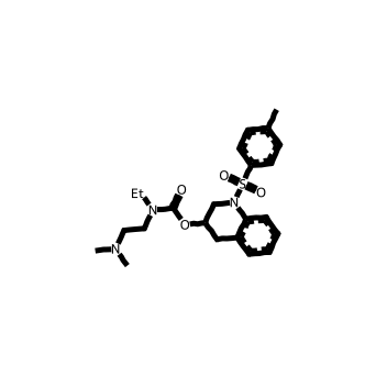 CCN(CCN(C)C)C(=O)OC1Cc2ccccc2N(S(=O)(=O)c2ccc(C)cc2)C1